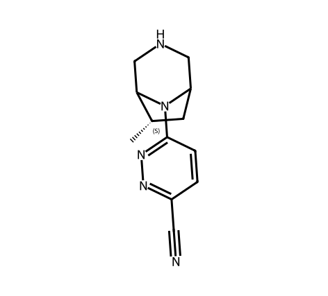 C[C@H]1CC2CNCC1N2c1ccc(C#N)nn1